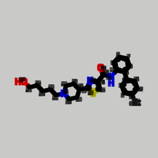 CCc1ccc(-c2ccccc2NC(=O)c2csc(C3CCN(CCCCCO)CC3)n2)cc1